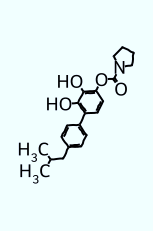 CC(C)Cc1ccc(-c2ccc(OC(=O)N3CCCC3)c(O)c2O)cc1